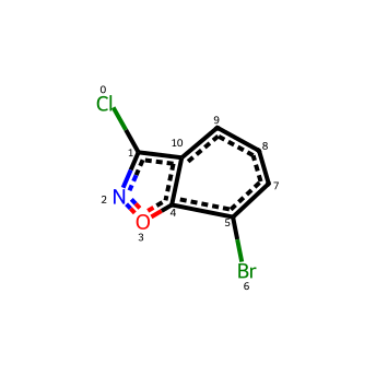 Clc1noc2c(Br)cccc12